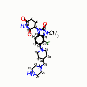 Cn1c(=O)n(C2CCC(=O)NC2=O)c2ccc(N3CCC(CN4CCNCC4)CC3)c(F)c21